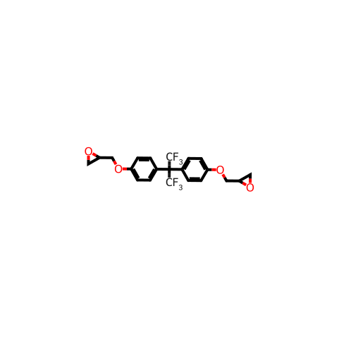 FC(F)(F)C(c1ccc(OCC2CO2)cc1)(c1ccc(OCC2CO2)cc1)C(F)(F)F